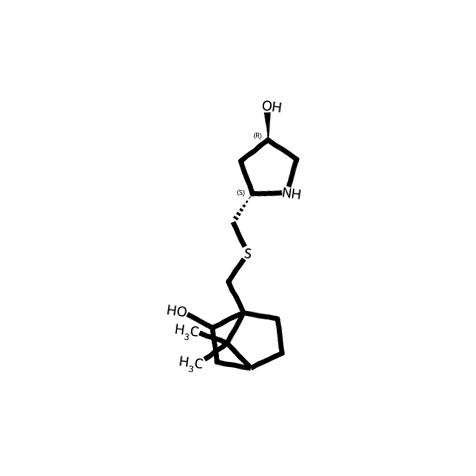 CC1(C)C2CCC1(CSC[C@@H]1C[C@@H](O)CN1)C(O)C2